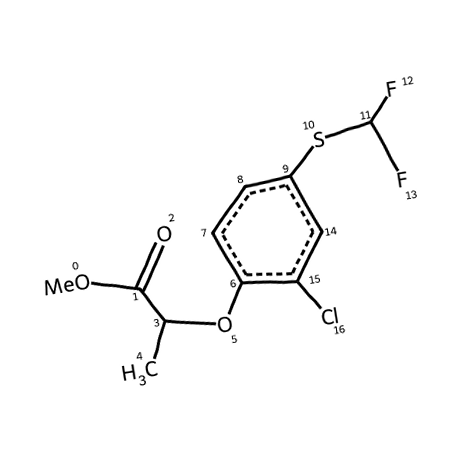 COC(=O)C(C)Oc1ccc(SC(F)F)cc1Cl